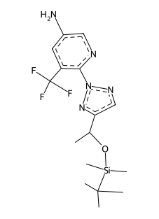 CC(O[Si](C)(C)C(C)(C)C)c1cnn(-c2ncc(N)cc2C(F)(F)F)n1